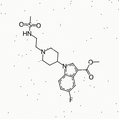 COC(=O)c1cn(C2CCN(CCNS(C)(=O)=O)CC2)c2ccc(F)cc12